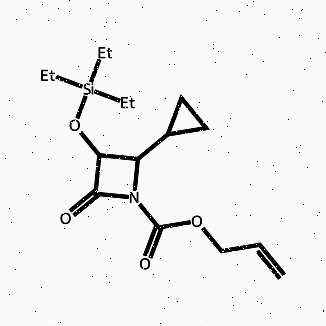 C=CCOC(=O)N1C(=O)C(O[Si](CC)(CC)CC)C1C1CC1